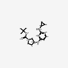 CC(C)(C)OC(=O)N1CC[C@H](Oc2ccnc(NC3CC3)n2)C1